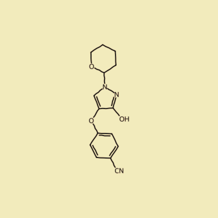 N#Cc1ccc(Oc2cn(C3CCCCO3)nc2O)cc1